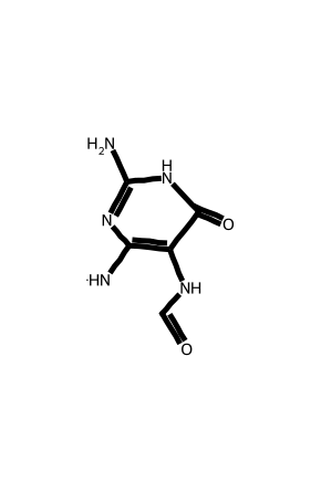 [NH]c1nc(N)[nH]c(=O)c1NC=O